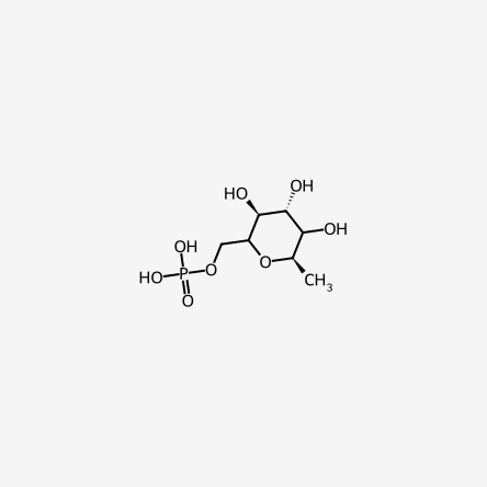 C[C@H]1OC(COP(=O)(O)O)[C@@H](O)[C@H](O)C1O